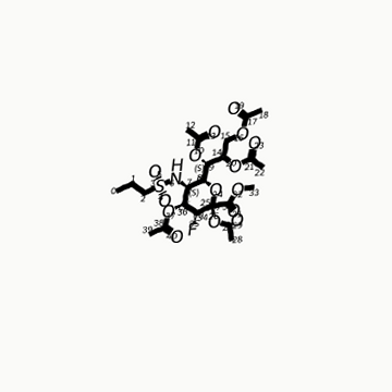 CCCS(=O)(=O)N[C@H]1[C@@H]([C@H](OC(C)=O)C(COC(C)=O)OC(C)=O)O[C@](OC(C)=O)(C(=O)OC)[C@H](F)[C@H]1OC(C)=O